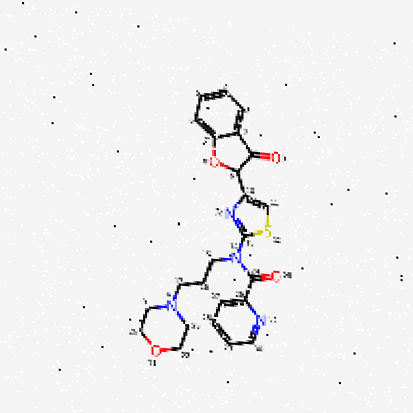 O=C1c2ccccc2OC1c1csc(N(CCCN2CCOCC2)C(=O)c2ccccn2)n1